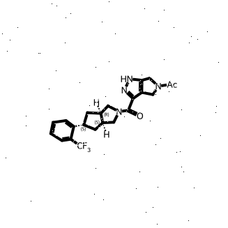 CC(=O)N1Cc2[nH]nc(C(=O)N3C[C@H]4C[C@H](c5ccccc5C(F)(F)F)C[C@H]4C3)c2C1